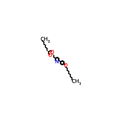 CCCCCCCCCCOc1ccc(-c2ccc(CC[C@H]3OC[C@H](CCCCCCCC)CO3)cn2)cc1